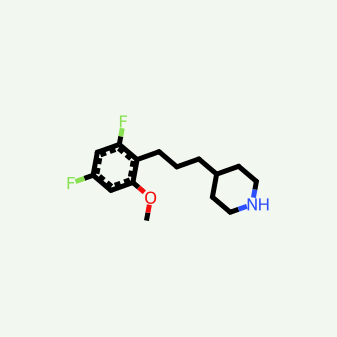 COc1cc(F)cc(F)c1CCCC1CCNCC1